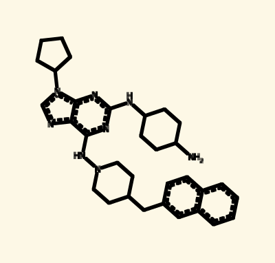 NC1CCC(Nc2nc(NN3CCC(Cc4ccc5ccccc5c4)CC3)c3ncn(C4CCCC4)c3n2)CC1